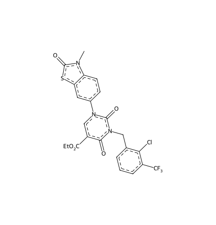 CCOC(=O)c1cn(-c2ccc3c(c2)sc(=O)n3C)c(=O)n(Cc2cccc(C(F)(F)F)c2Cl)c1=O